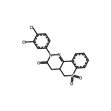 O=C1CC2CS(=O)(=O)c3ccccc3C2=NN1c1ccc(Cl)c(Cl)c1